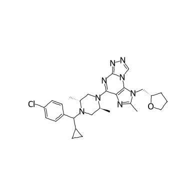 Cc1nc2c(N3C[C@@H](C)N(C(c4ccc(Cl)cc4)C4CC4)C[C@@H]3C)nc3nncn3c2n1C[C@@H]1CCCO1